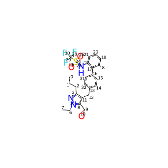 CCCc1nn(CC)c(C=O)c1Cc1ccc(-c2ccccc2NS(=O)(=O)C(F)(F)F)cc1